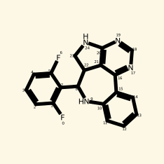 Fc1cccc(F)c1C1Nc2ccccc2-c2ncnc3c2C1CN3